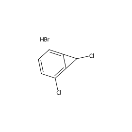 Br.Clc1cccc2c1C2Cl